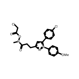 COc1ccc(-n2nc(CCC(=O)N(C)OC(=O)CCl)cc2-c2ccc(Cl)cc2)cc1